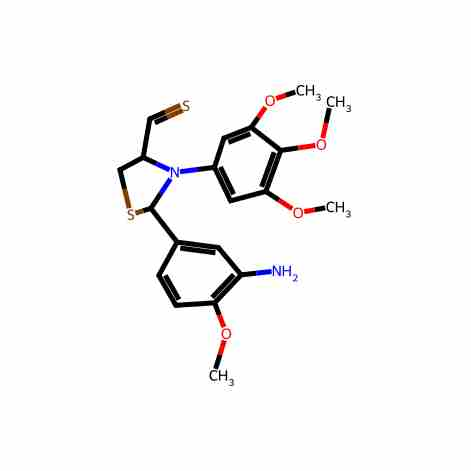 COc1ccc(C2SCC(C=S)N2c2cc(OC)c(OC)c(OC)c2)cc1N